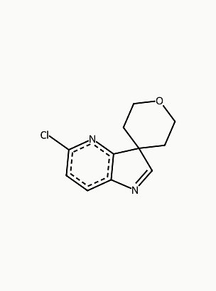 Clc1ccc2c(n1)C1(C=N2)CCOCC1